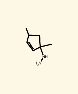 CC1C=CC(C)(NN)C1